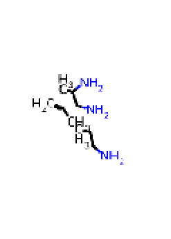 C=CC.CC(N)CN.C[CH]CN